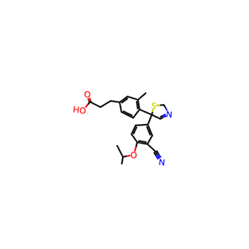 Cc1cc(CCC(=O)O)ccc1C1(c2ccc(OC(C)C)c(C#N)c2)C=NCS1